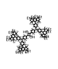 CCC1(CC)CC(C)(C)c2c1cc1c(c2-c2ccc(N(c3ccc(-c4c5c(cc6c4C(C)(C)CC6(CC)CC)C(CC)(CC)CC5(C)C)cc3)c3ccc(C4C(O)C(c5ccc(N(c6ccc(-c7c8c(cc9c7C(C)(C)CC9(CC)CC)C(CC)(CC)CC8(C)C)cc6)c6ccc(-c7c8c(cc9c7C(C)(C)CC9(CC)CC)C(CC)(CC)CC8(C)C)cc6)cc5)C4O)cc3)cc2)C(C)(C)CC1(CC)CC